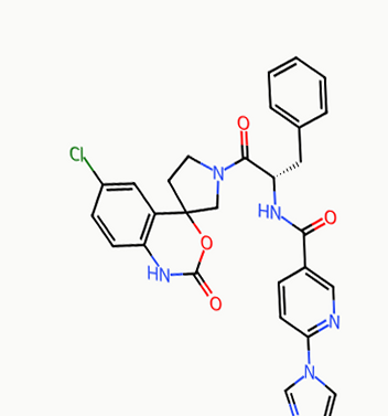 O=C1Nc2ccc(Cl)cc2C2(CCN(C(=O)[C@H](Cc3ccccc3)NC(=O)c3ccc(-n4ccnc4)nc3)C2)O1